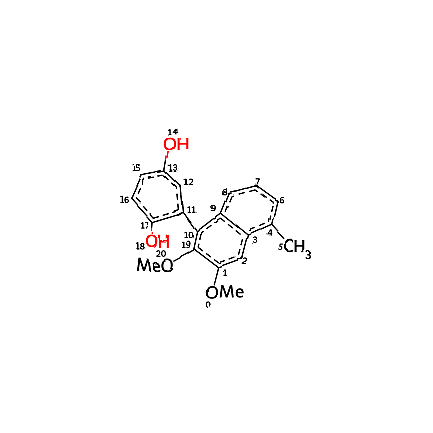 COc1cc2c(C)cccc2c(-c2cc(O)ccc2O)c1OC